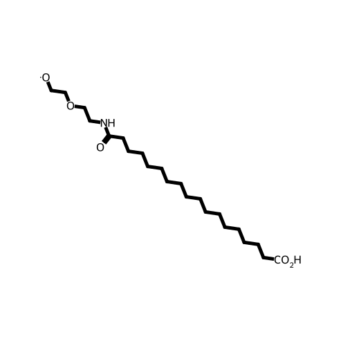 [O]CCOCCNC(=O)CCCCCCCCCCCCCCCCC(=O)O